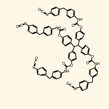 O=C=Nc1ccc(Cc2ccc(NC(=O)Oc3ccc(C(c4ccc(OC(=O)Nc5ccc(Cc6ccc(N=C=O)cc6)cc5)cc4)C(c4ccc(OC(=O)Nc5ccc(Cc6ccc(N=C=O)cc6)cc5)cc4)c4ccc(OC(=O)Nc5ccc(Cc6ccc(N=C=O)cc6)cc5)cc4)cc3)cc2)cc1